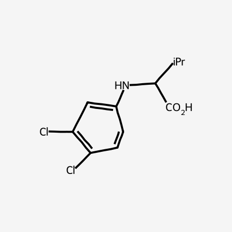 CC(C)C(Nc1ccc(Cl)c(Cl)c1)C(=O)O